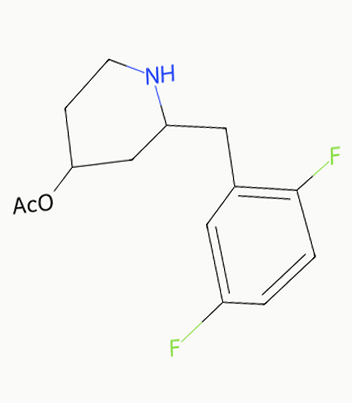 CC(=O)OC1CCNC(Cc2cc(F)ccc2F)C1